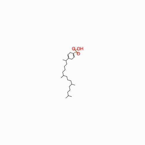 CC(C)CCCC(C)CCCC(C)CCCCC(C)C1=CCC(S(=O)(=O)O)=CC1